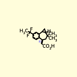 CC(F)(F)c1ccc2c(c1)C1C[C@H]1C(C)(C)C/C2=C\C(=O)O